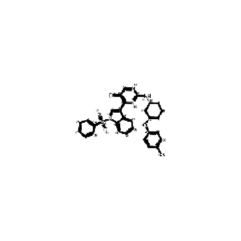 CCc1ccc(O[C@@H]2CCC[C@@H](Nc3ncc(Cl)c(-c4cn(S(=O)(=O)c5ccccc5)c5ccccc45)n3)C2)cc1